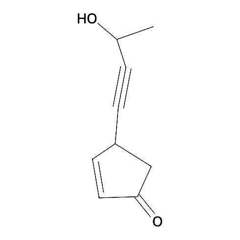 CC(O)C#CC1C=CC(=O)C1